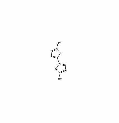 CC(C)c1nnc(-c2ccc(C(C)C)s2)o1